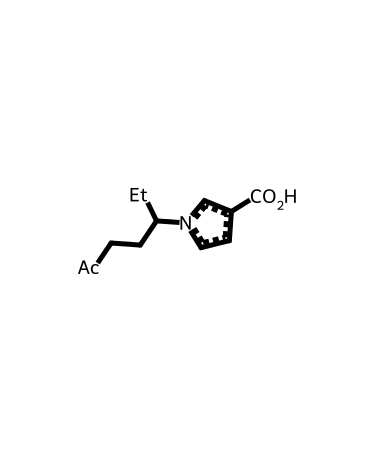 CCC(CCC(C)=O)n1ccc(C(=O)O)c1